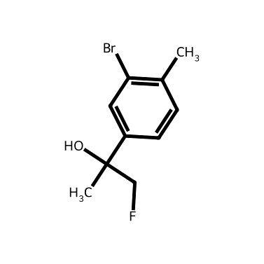 Cc1ccc(C(C)(O)CF)cc1Br